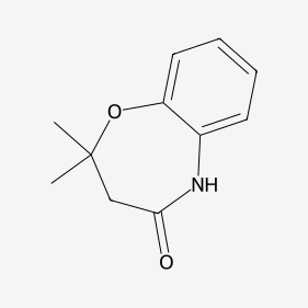 CC1(C)CC(=O)Nc2ccccc2O1